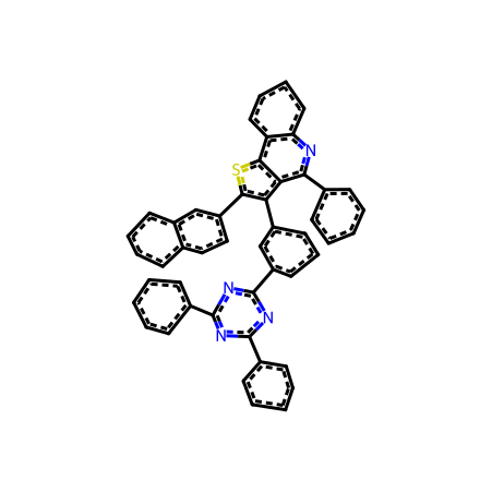 c1ccc(-c2nc(-c3ccccc3)nc(-c3cccc(-c4c(-c5ccc6ccccc6c5)sc5c4c(-c4ccccc4)nc4ccccc45)c3)n2)cc1